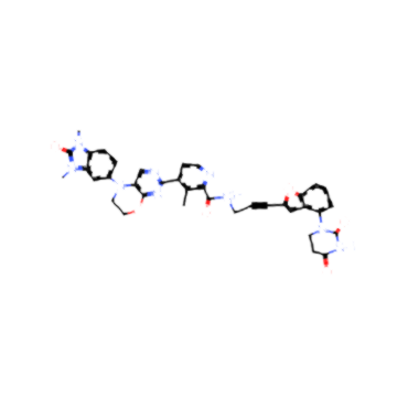 Cc1c(-c2ncc3c(n2)OCCN3c2ccc3c(c2)n(C)c(=O)n3C)ccnc1C(=O)NCC#Cc1cc2c(N3CCC(=O)NC3=O)cccc2o1